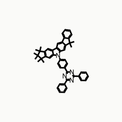 CC1(C)c2ccccc2-c2cc3c4cc5c(cc4n(-c4ccc(-c6nc(-c7ccccc7)nc(-c7ccccc7)n6)cc4)c3cc21)C(C)(C)C(C)(C)C5(C)C